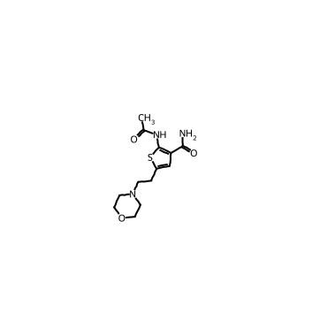 CC(=O)Nc1sc(CCN2CCOCC2)cc1C(N)=O